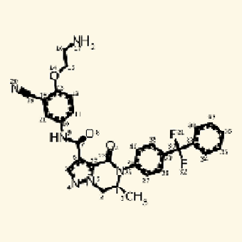 C[C@H]1Cn2ncc(C(=O)Nc3ccc(OCCN)c(C#N)c3)c2C(=O)N1c1ccc(C(F)(F)c2ccccc2)cc1